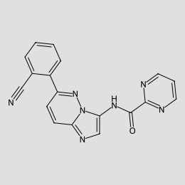 N#Cc1ccccc1-c1ccc2ncc(NC(=O)c3ncccn3)n2n1